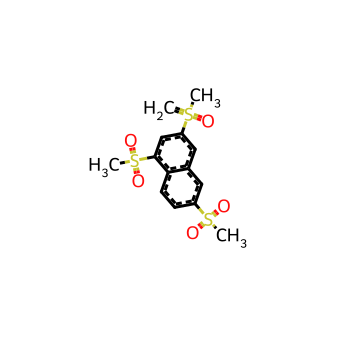 C=S(C)(=O)c1cc(S(C)(=O)=O)c2ccc(S(C)(=O)=O)cc2c1